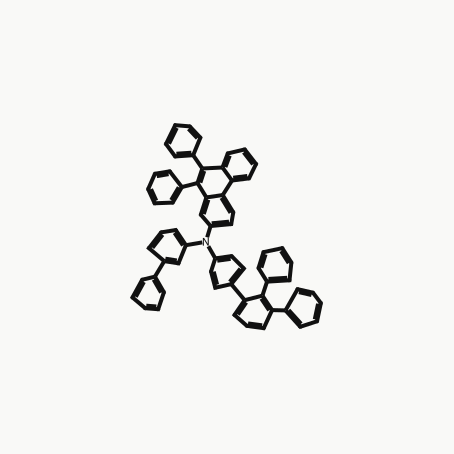 c1ccc(-c2cccc(N(c3ccc(-c4cccc(-c5ccccc5)c4-c4ccccc4)cc3)c3ccc4c(c3)c(-c3ccccc3)c(-c3ccccc3)c3ccccc34)c2)cc1